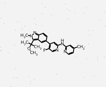 [CH2]c1ccnc(Nc2cc(-c3ccc4nn(C)c(C(C)(C)OC)c4c3)c(F)cn2)c1